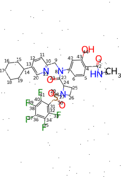 CNC(=O)c1ccc(N(Cc2ccc(C3CCCCC3)cn2)C(=O)C2CCN2S(=O)(=O)c2c(F)c(F)c(F)c(F)c2F)cc1O